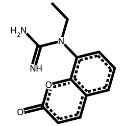 CCN(C(=N)N)c1cccc2ccc(=O)oc12